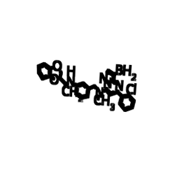 Bc1cnn2c(N(C)Cc3cccc(NC(=C)C4COc5ccccc5O4)c3)cc(-c3ccccc3Cl)nc12